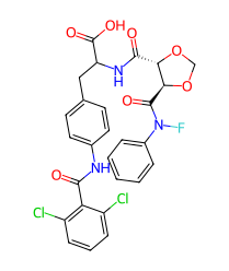 O=C(Nc1ccc(CC(NC(=O)[C@@H]2OCO[C@H]2C(=O)N(F)c2ccccc2)C(=O)O)cc1)c1c(Cl)cccc1Cl